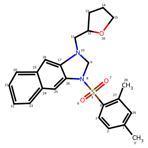 Cc1ccc(S(=O)(=O)N2CN(CC3CCCO3)c3cc4ccccc4cc32)c(C)c1